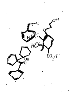 CC(=O)Cc1ccccc1.CC1(O)C(C(=O)O)=C(OCCO)C=CC1C(=O)O.O=C(c1ccccc1)C1(C2(O)CCCCC2)C=CC=CC1